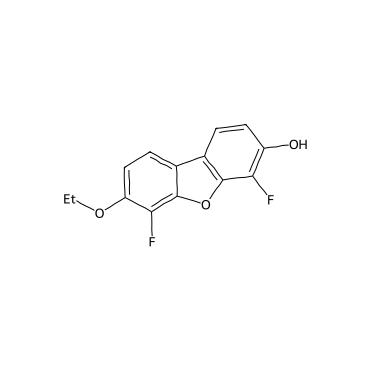 CCOc1ccc2c(oc3c(F)c(O)ccc32)c1F